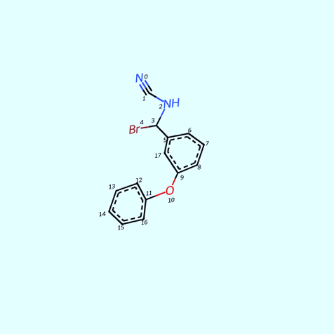 N#CNC(Br)c1cccc(Oc2ccccc2)c1